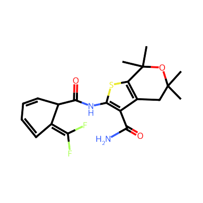 CC1(C)Cc2c(sc(NC(=O)C3C=CC=CC3=C(F)F)c2C(N)=O)C(C)(C)O1